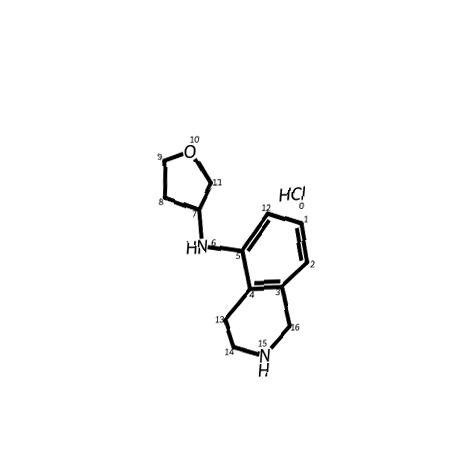 Cl.c1cc2c(c(NC3CCOC3)c1)CCNC2